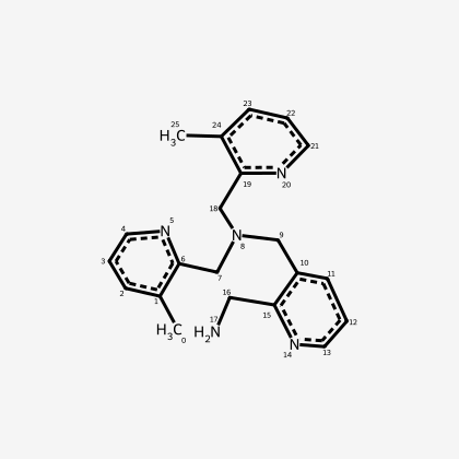 Cc1cccnc1CN(Cc1cccnc1CN)Cc1ncccc1C